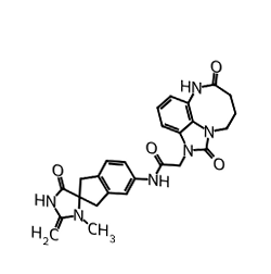 C=C1NC(=O)C2(Cc3ccc(NC(=O)Cn4c(=O)n5c6c(cccc64)NC(=O)CCC5)cc3C2)N1C